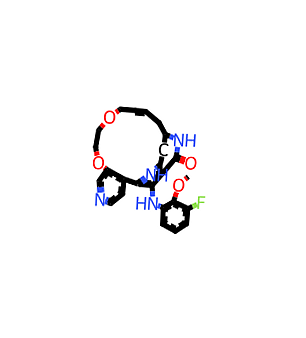 COc1c(F)cccc1Nc1c2[nH]c3c1C(=O)NC(CC=CCOCCOc1cnccc1-2)C3